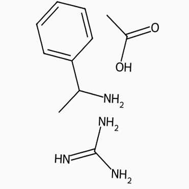 CC(=O)O.CC(N)c1ccccc1.N=C(N)N